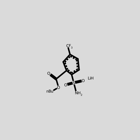 CCCCOC(=O)c1cc(C(F)(F)F)ccc1S(N)(=O)=O.[LiH]